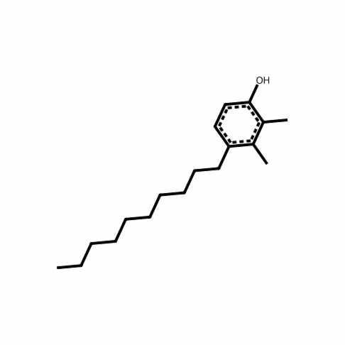 CCCCCCCCCCc1ccc(O)c(C)c1C